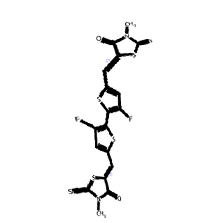 CN1C(=O)/C(=C/c2cc(F)c(-c3sc(/C=C4\SC(=S)N(C)C4=O)cc3F)s2)SC1=S